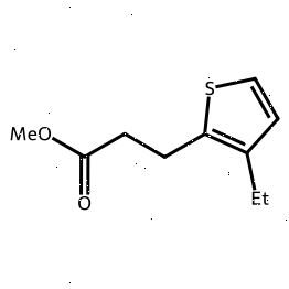 CCc1ccsc1CCC(=O)OC